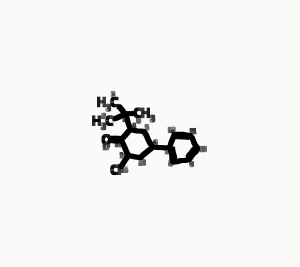 CC(C)(C)C1CC(c2ccccc2)CC(Cl)C1=O